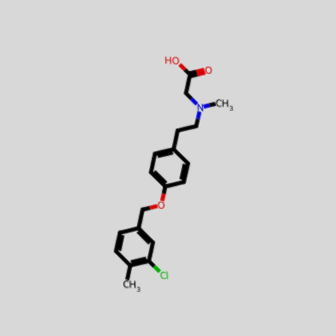 Cc1ccc(COc2ccc(CCN(C)CC(=O)O)cc2)cc1Cl